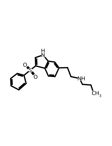 CCCNCCc1ccc2c(S(=O)(=O)c3ccccc3)c[nH]c2c1